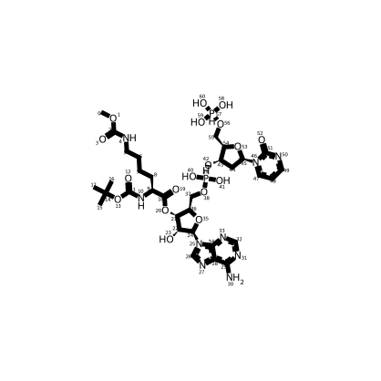 COC(=O)NCCCC[C@H](NC(=O)OC(C)(C)C)C(=O)O[C@H]1[C@@H](O)[C@H](n2cnc3c(N)ncnc32)O[C@@H]1CO[PH](O)(O)O[C@H]1C[C@H](n2cccnc2=O)O[C@@H]1CO[PH](O)(O)O